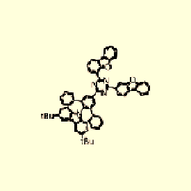 CC(C)(C)c1ccc2c(c1)c1cc(C(C)(C)C)ccc1n2-c1c(-c2ccccc2)cc(-c2nc(-c3ccc4c(c3)oc3ccccc34)nc(-c3cccc4c3oc3ccccc34)n2)cc1-c1ccccc1